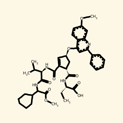 CC[C@H](NC(=O)[C@H]1C[C@H](Oc2cc(-c3ccccc3)nc3cc(OC)ccc23)C=C1C(=O)N[C@@H](C(=O)NC(C(=O)OC)C1CCCCC1)C(C)C)C(=O)O